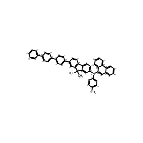 Cc1ccc(N(c2ccc3c(c2)C(C)(C)c2cc(-c4ccc(-c5ccc(-c6ccccc6)cc5)cc4)ccc2-3)c2cc3ccccc3c3ccccc23)cc1